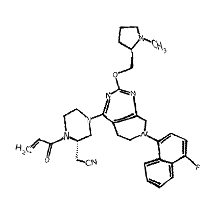 C=CC(=O)N1CCN(c2nc(OC[C@H]3CCCN3C)nc3c2CCN(c2ccc(F)c4ccccc24)C3)C[C@@H]1CC#N